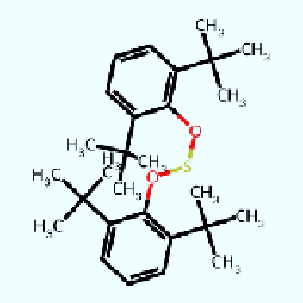 CC(C)(C)c1cccc(C(C)(C)C)c1OSOc1c(C(C)(C)C)cccc1C(C)(C)C